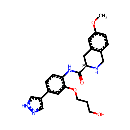 COc1ccc2c(c1)C[C@H](C(=O)Nc1ccc(-c3cn[nH]c3)cc1OCCCO)NC2